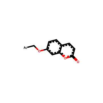 CC(=O)COc1ccc2ccc(=O)oc2c1